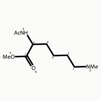 CNCCCCC(NC(C)=O)C(=O)OC